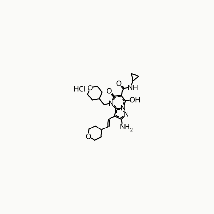 Cl.Nc1nn2c(O)c(C(=O)NC3CC3)c(=O)n(CC3CCOCC3)c2c1/C=C/C1CCOCC1